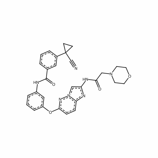 N#CC1(c2cccc(C(=O)Nc3cccc(Oc4ccc5nc(NC(=O)CN6CCOCC6)cn5n4)c3)c2)CC1